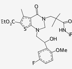 CCOC(=O)c1sc2c(c1C)C(=O)N(CC(C)(C)C(=O)NC(C)C)CN2CC(O)c1cc(F)ccc1OC